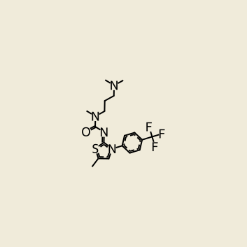 Cc1cn(-c2ccc(C(F)(F)F)cc2)/c(=N/C(=O)N(C)CCCN(C)C)s1